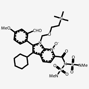 CNS(=O)(=O)N(C(=O)c1ccc2c(C3CCCCC3)c(-c3ccc(OC)cc3C=O)n(COCC[Si](C)(C)C)c2[n+]1[O-])S(=O)(=O)NC